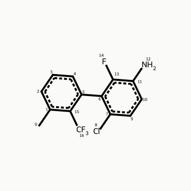 Cc1cccc(-c2c(Cl)ccc(N)c2F)c1C(F)(F)F